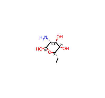 CC[C@@H]1O[C@@H](O)[C@H](N)[C@@H](O)[C@H]1O